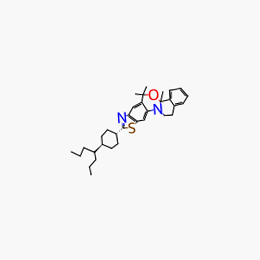 CCCC(CCC)[C@H]1CC[C@H](c2nc3cc4c(cc3s2)N2CCc3ccccc3C2(C)OC4(C)C)CC1